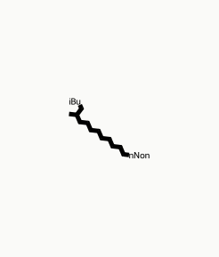 CCCCCCCCCCCCCCCCCCC(C)CC(C)CC